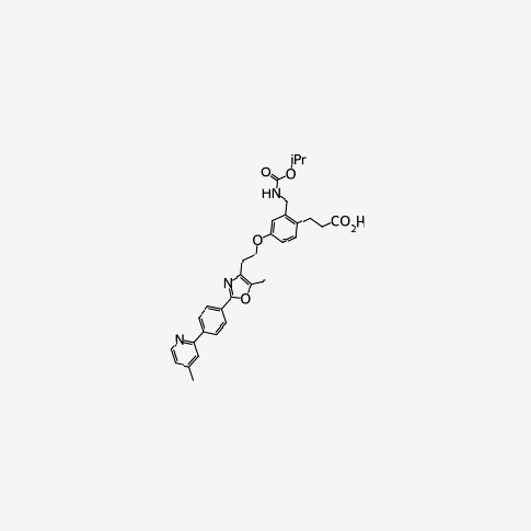 Cc1ccnc(-c2ccc(-c3nc(CCOc4ccc(CCC(=O)O)c(CNC(=O)OC(C)C)c4)c(C)o3)cc2)c1